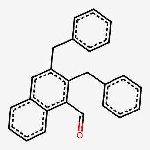 O=Cc1c(Cc2ccccc2)c(Cc2ccccc2)cc2ccccc12